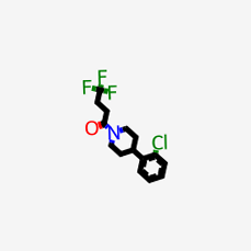 O=C(CCC(F)(F)F)N1CCC(c2ccccc2Cl)CC1